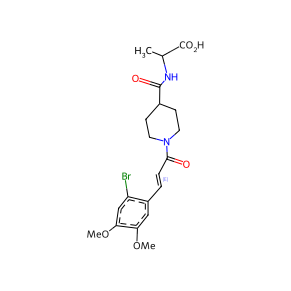 COc1cc(Br)c(/C=C/C(=O)N2CCC(C(=O)NC(C)C(=O)O)CC2)cc1OC